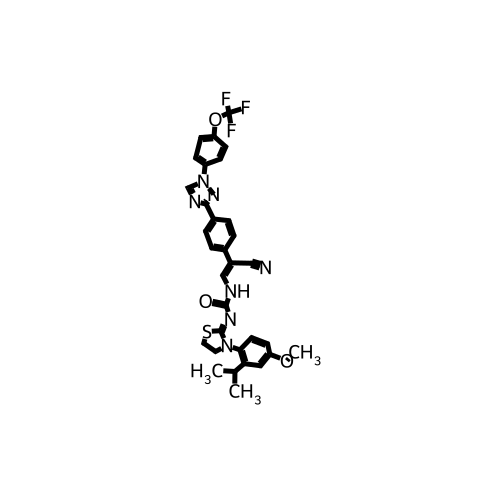 COc1ccc(N2CCS/C2=N\C(=O)N/C=C(\C#N)c2ccc(-c3ncn(-c4ccc(OC(F)(F)F)cc4)n3)cc2)c(C(C)C)c1